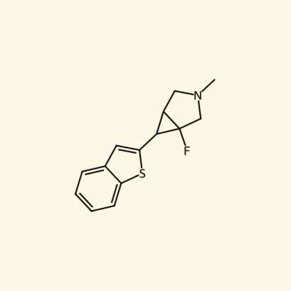 CN1CC2C(c3cc4ccccc4s3)C2(F)C1